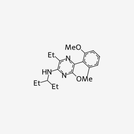 CCc1nc(-c2c(C)cccc2OC)c(OC)nc1NC(CC)CC